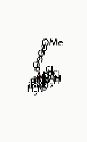 CC[C@H](C)C(NC(=O)[C@@]1(NC(=O)[C@H](CCc2ccc(OCCOCCOCCOCCOC)cc2)N(Cc2ccccc2)C(=O)O)CCc2[nH]c3c(Cl)cc(Cl)cc3c2C1)C(N)=S